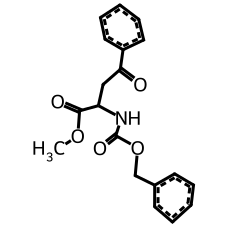 COC(=O)C(CC(=O)c1ccccc1)NC(=O)OCc1ccccc1